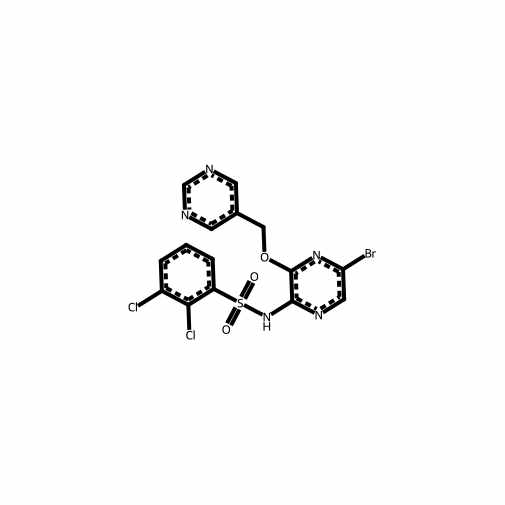 O=S(=O)(Nc1ncc(Br)nc1OCc1cncnc1)c1cccc(Cl)c1Cl